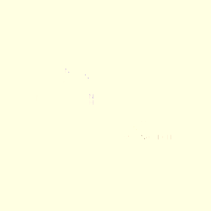 CN(O)S(=O)(=O)c1ccc(CNc2ncnc3cc(F)ccc23)cc1